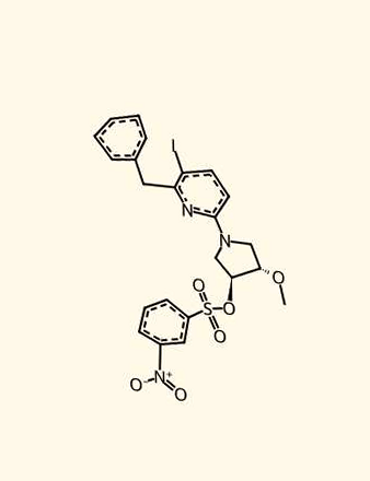 CO[C@H]1CN(c2ccc(I)c(Cc3ccccc3)n2)C[C@@H]1OS(=O)(=O)c1cccc([N+](=O)[O-])c1